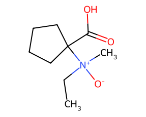 CC[N+](C)([O-])C1(C(=O)O)CCCC1